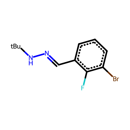 CC(C)(C)NN=Cc1cccc(Br)c1F